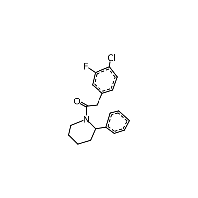 O=C(Cc1ccc(Cl)c(F)c1)N1CCCCC1c1ccccc1